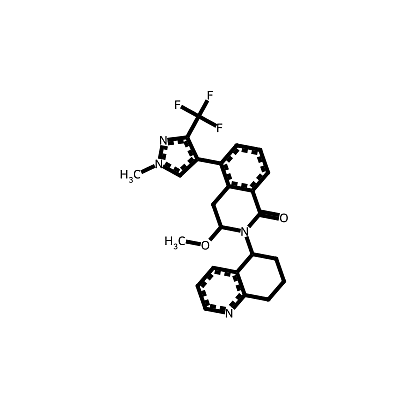 COC1Cc2c(cccc2-c2cn(C)nc2C(F)(F)F)C(=O)N1C1CCCc2ncccc21